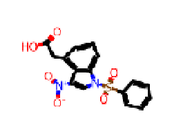 O=C(O)Cc1cccc2c1c([N+](=O)[O-])cn2S(=O)(=O)c1ccccc1